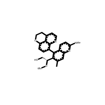 CNc1ccc2c(-c3ccc4c5c(ccnc35)CCO4)c([C@@H](CO)OC(C)(C)C)c(C)cc2n1